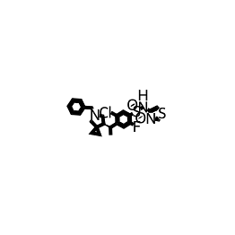 CC(c1cc(F)c(S(=O)(=O)Nc2cscn2)cc1Cl)[C@@H]1CN(Cc2ccccc2)CC12CC2